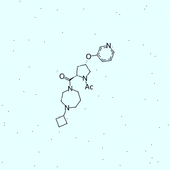 CC(=O)N1C[C@@H](Oc2cccnc2)C[C@@H]1C(=O)N1CCCN(C2CCC2)CC1